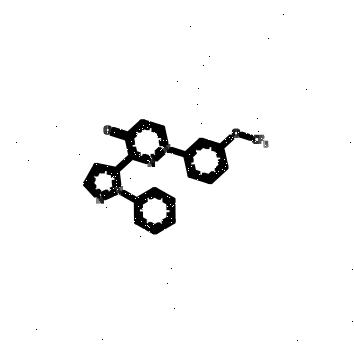 O=c1ccn(-c2cccc(OC(F)(F)F)c2)nc1-c1ccnn1-c1ccccc1